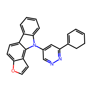 C1=CCCC(c2cc(-n3c4ccccc4c4ccc5occc5c43)cnn2)=C1